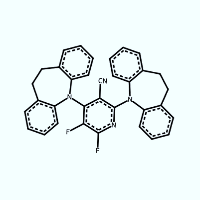 N#Cc1c(N2c3ccccc3CCc3ccccc32)nc(F)c(F)c1N1c2ccccc2CCc2ccccc21